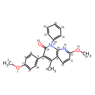 COc1ccc(-c2c(C)c3ccc(OC)nc3n(-c3ccccc3)c2=O)cc1